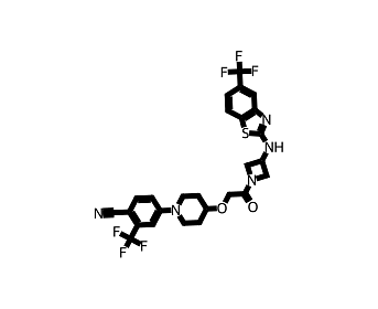 N#Cc1ccc(N2CCC(OCC(=O)N3CC(Nc4nc5cc(C(F)(F)F)ccc5s4)C3)CC2)cc1C(F)(F)F